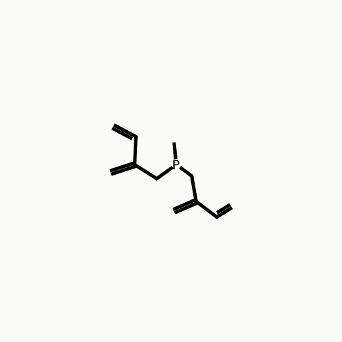 C=CC(=C)CP(C)CC(=C)C=C